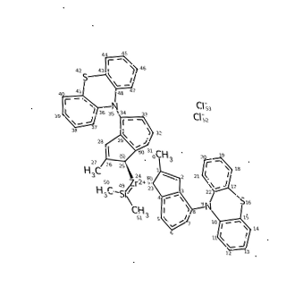 CC1=Cc2c(cccc2N2c3ccccc3Sc3ccccc32)[C@@H]1[Zr+2]([C@H]1C(C)=Cc2c1cccc2N1c2ccccc2Sc2ccccc21)=[Si](C)C.[Cl-].[Cl-]